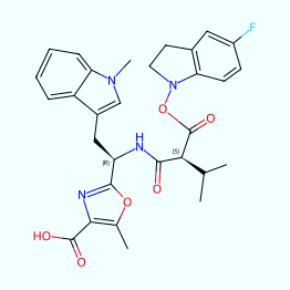 Cc1oc([C@@H](Cc2cn(C)c3ccccc23)NC(=O)[C@@H](C(=O)ON2CCc3cc(F)ccc32)C(C)C)nc1C(=O)O